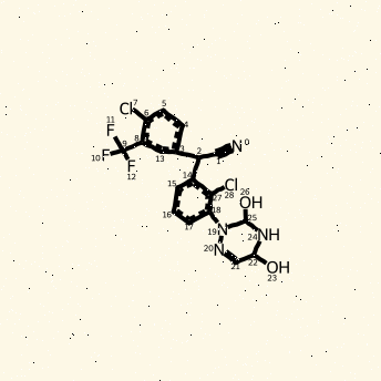 N#CC(c1ccc(Cl)c(C(F)(F)F)c1)c1cccc(N2N=CC(O)NC2O)c1Cl